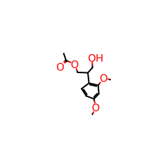 COc1ccc(C(CO)COC(C)=O)c(OC)c1